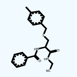 Cc1ccc(CSCC(NC(=O)c2ccccc2)C(=O)NCC#N)cc1